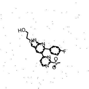 CS(=O)(=O)c1nccc(-c2cc3cn(CCO)nc3nc2-c2ccc(F)cc2)n1